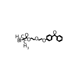 CC(C)(Br)C(=O)OCCOCCOc1ccc(C(=O)c2ccccc2)cc1